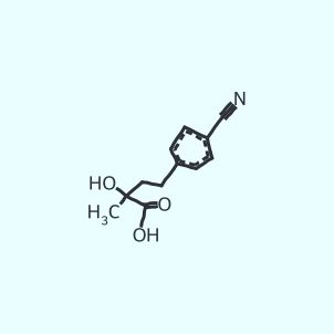 CC(O)(CCc1ccc(C#N)cc1)C(=O)O